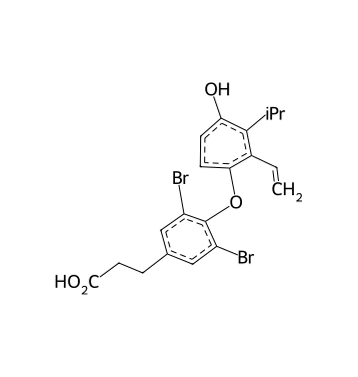 C=Cc1c(Oc2c(Br)cc(CCC(=O)O)cc2Br)ccc(O)c1C(C)C